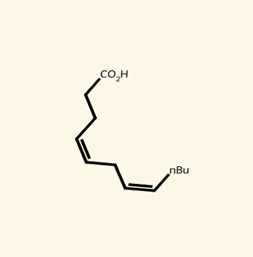 CCCC/C=C\C/C=C\CCC(=O)O